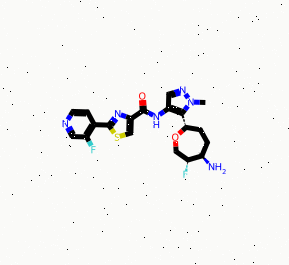 Cn1ncc(NC(=O)c2csc(-c3ccncc3F)n2)c1[C@@H]1CC[C@@H](N)[C@H](F)CO1